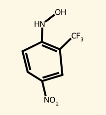 O=[N+]([O-])c1ccc(NO)c(C(F)(F)F)c1